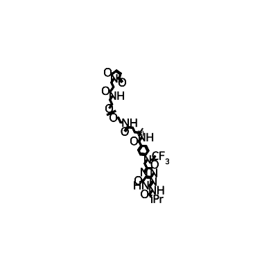 CC(C)C(=O)Nc1nc2ncc(CN(C(=O)C(F)(F)F)c3ccc(C(=O)N[C@H](C)CCC(=O)NCCOC(C)(C)OCCNC(=O)CCN4C(=O)C=CC4=O)cc3)nc2c(=O)[nH]1